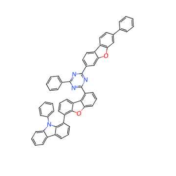 c1ccc(-c2ccc3c(c2)oc2cc(-c4nc(-c5ccccc5)nc(-c5cccc6oc7c(-c8cccc9c%10ccccc%10n(-c%10ccccc%10)c89)cccc7c56)n4)ccc23)cc1